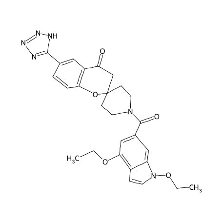 CCOc1cc(C(=O)N2CCC3(CC2)CC(=O)c2cc(-c4nnn[nH]4)ccc2O3)cc2c1ccn2OCC